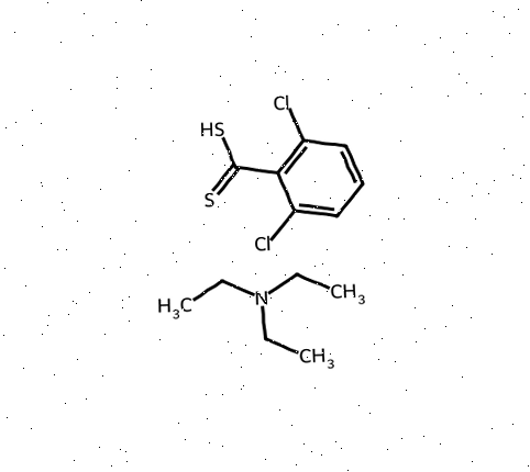 CCN(CC)CC.S=C(S)c1c(Cl)cccc1Cl